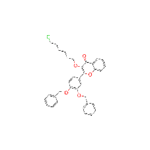 O=c1c(OCCCCCCCl)c(-c2ccc(OCc3ccccc3)c(OCc3ccccc3)c2)oc2ccccc12